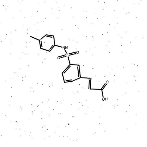 Cc1ccc(NS(=O)(=O)c2cccc(C=CC(=O)O)c2)cc1